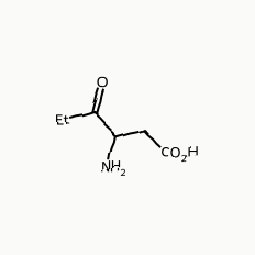 CCC(=O)C(N)CC(=O)O